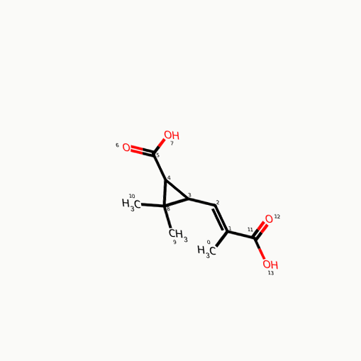 C/C(=C\C1C(C(=O)O)C1(C)C)C(=O)O